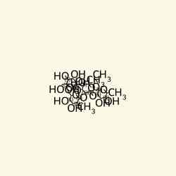 CCCO[C@@H]1OC(C)[C@H](O)C(O)[C@@H]1O[C@@H]1OC(C)[C@H](O)C(O[C@H]2O[C@@H](CO)[C@@H](O)C(O)C2O)[C@@H]1O[C@@H]1OC(CO)[C@@H](O)C(O)[C@@H]1C